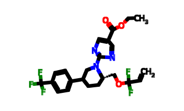 C=CC(F)(F)OC[C@@H]1CCC(c2ccc(C(F)(F)F)cc2)CN1c1ncc(C(=O)OCC)cn1